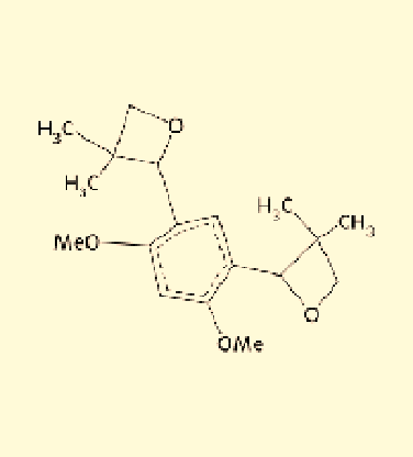 COc1cc(OC)c(C2OCC2(C)C)cc1C1OCC1(C)C